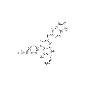 C=Cc1[nH]c2nc(Sc3ccc4[nH]nnc4c3)nc(N3CC4C(N)C4C3)c2c1Cl